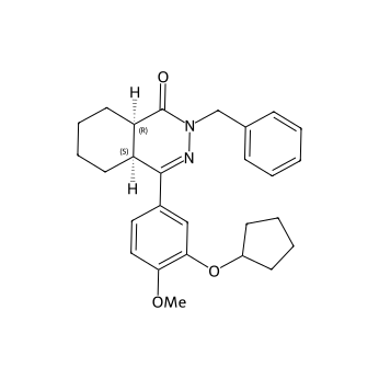 COc1ccc(C2=NN(Cc3ccccc3)C(=O)[C@@H]3CCCC[C@H]23)cc1OC1CCCC1